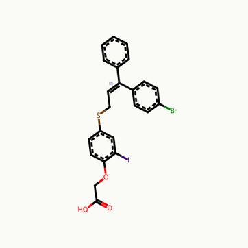 O=C(O)COc1ccc(SC/C=C(/c2ccccc2)c2ccc(Br)cc2)cc1I